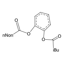 CCCCCCCCCC(=O)Oc1ccccc1OC(=O)C(C)CC